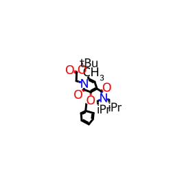 Cc1cc(C(=O)N(CC(C)C)CC(C)C)c(OCc2ccccc2)c(=O)n1CC(=O)OC(C)(C)C